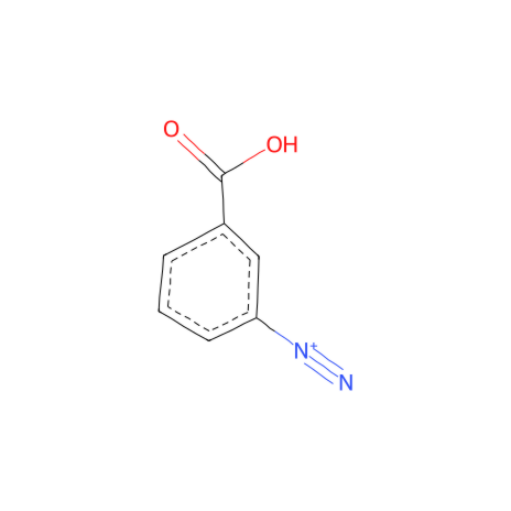 N#[N+]c1cccc(C(=O)O)c1